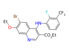 CCOC(=O)c1cnc2cc(OCC)c(Br)cc2c1Nc1cccc(C(F)(F)F)c1F